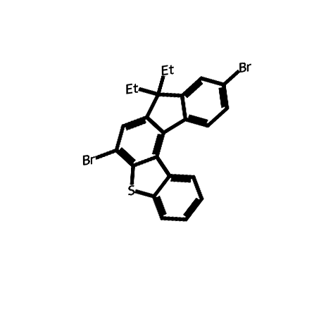 CCC1(CC)c2cc(Br)ccc2-c2c1cc(Br)c1sc3ccccc3c21